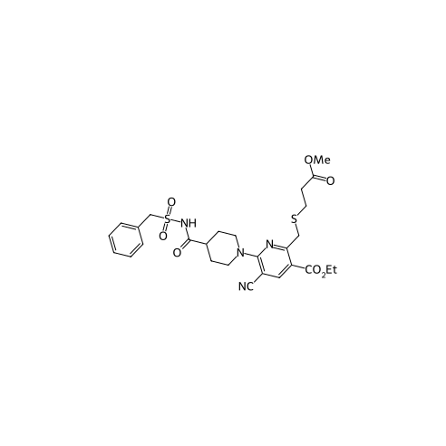 CCOC(=O)c1cc(C#N)c(N2CCC(C(=O)NS(=O)(=O)Cc3ccccc3)CC2)nc1CSCCC(=O)OC